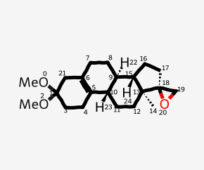 COC1(OC)CCC2=C(CC[C@@H]3[C@@H]2CC[C@@]2(C)[C@H]3CC[C@@]23CO3)C1